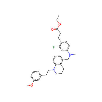 CCOC(=O)CCc1ccc(N(C)Cc2cccc3c2CCCN3CCc2cccc(OC)c2)cc1F